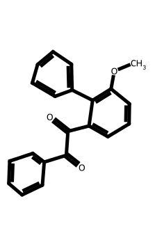 COc1cccc(C(=O)C(=O)c2ccccc2)c1-c1ccccc1